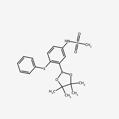 CC1(C)OB(c2cc(NS(C)(=O)=O)ccc2Sc2ccccc2)OC1(C)C